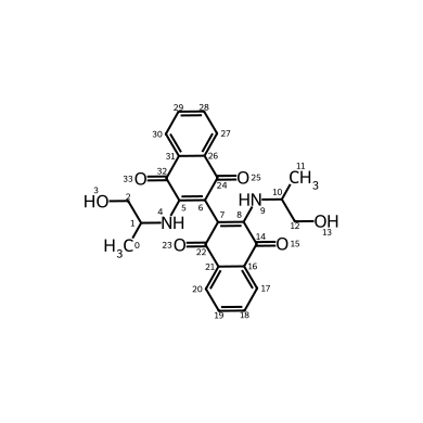 CC(CO)NC1=C(C2=C(NC(C)CO)C(=O)c3ccccc3C2=O)C(=O)c2ccccc2C1=O